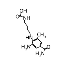 Cc1cc(C(N)=O)cc(N)c1NCC=CCNC(=O)O